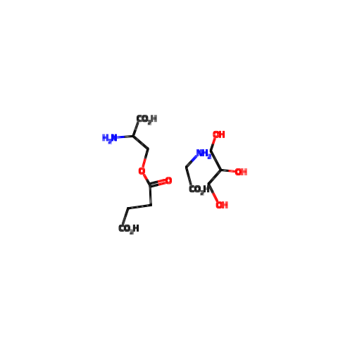 NC(COC(=O)CCC(=O)O)C(=O)O.NCC(=O)O.OCC(O)CO